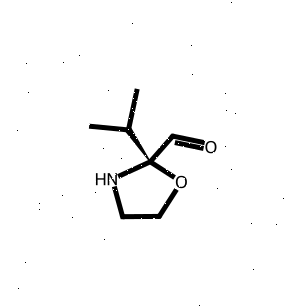 CC(C)[C@]1(C=O)NCCO1